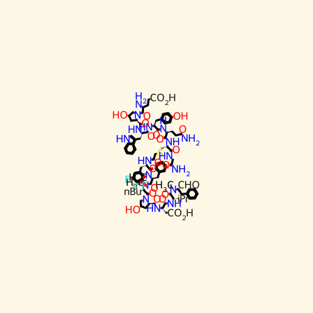 CCCC[C@@H](C(=O)N1C[C@H](O)C[C@@H]1C(=O)N[C@@H](CC(=O)O)C(=O)N[C@H](C(=O)N(C)[C@H](C=O)Cc1ccccc1)C(C)C)N(C)C(=O)[C@H](Cc1ccccc1)N(C)C(=O)[C@H](Cc1cc(F)c(F)c(F)c1)NC(=O)CSC[C@H](NC(=O)[C@H](CCC(N)=O)NC(=O)[C@H](Cc1ccc(O)cc1)NC(=O)[C@H](Cc1c[nH]c2ccccc12)NC(=O)[C@H]1C[C@@H](O)CN1C(=O)[C@@H](N)CCC(=O)O)C(=O)NCC(N)=O